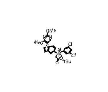 COc1ncc(-n2ccc3cc(N(CC(=O)OC(C)(C)C)S(=O)(=O)c4cc(Cl)cc(Cl)c4)ccc32)c(OC)n1